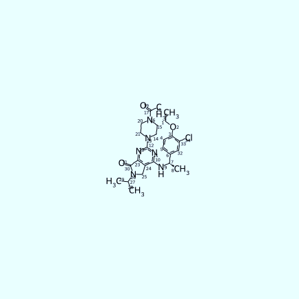 CCOc1ccc([C@@H](C)Nc2nc(N3CCN(C(C)=O)CC3)nc3c2CN(C(C)C)C3=O)cc1Cl